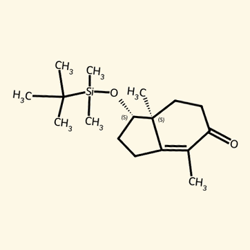 CC1=C2CC[C@H](O[Si](C)(C)C(C)(C)C)[C@@]2(C)CCC1=O